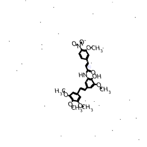 COc1cc(/C=C/C(=O)Nc2cc(C=Cc3cc(OC)c(OC)c(OC)c3)cc(OC)c2O)ccc1[N+](=O)[O-]